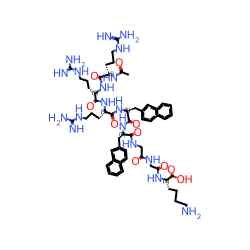 CC(=O)N[C@@H](CCCNC(=N)N)C(=O)N[C@@H](CCCNC(=N)N)C(=O)N[C@@H](CCCNC(=N)N)C(=O)N[C@@H](Cc1ccc2ccccc2c1)C(=O)N[C@H](Cc1ccc2ccccc2c1)C(=O)NCC(=O)NCC(=O)N[C@@H](CCCCN)C(=O)O